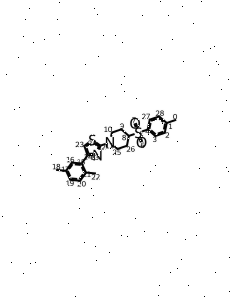 Cc1ccc(S(=O)(=O)C2CCN(c3nc(-c4cc(C)ccc4C)cs3)CC2)cc1